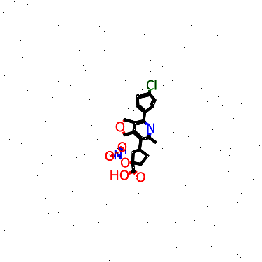 Cc1nc(-c2ccc(Cl)cc2)c2c(c1C1CCC(O[N+](=O)[O-])(C(=O)O)C1)COC2